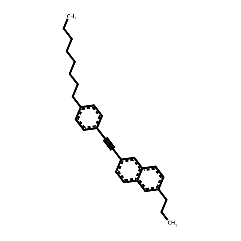 CCCCCCCCc1ccc(C#Cc2ccc3cc(CCC)ccc3c2)cc1